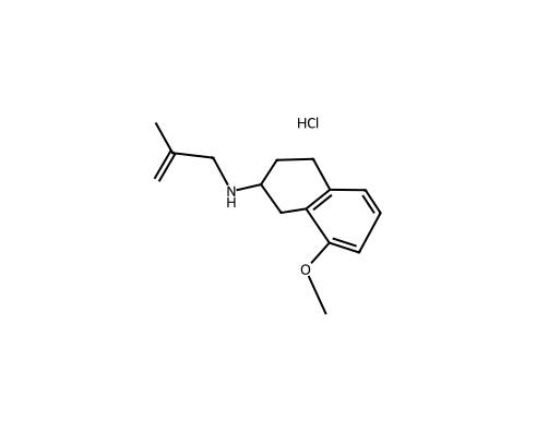 C=C(C)CNC1CCc2cccc(OC)c2C1.Cl